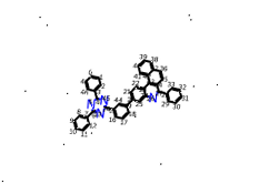 c1ccc(-c2nc(-c3ccccc3)nc(-c3cccc(-c4ccc5c(c4)nc(-c4ccccc4)c4ccc6ccccc6c45)c3)n2)cc1